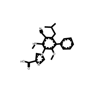 CNc1c(C#N)c(CC(C)C)c(-c2ccccc2)c(OC)c1-n1cnc(C(=O)O)c1